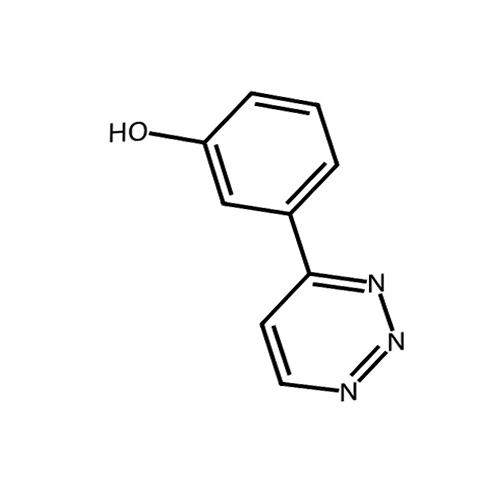 Oc1cccc(-c2ccnnn2)c1